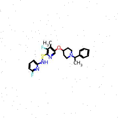 Cc1c(OC2CCN(C(C)c3ccccc3)CC2)cnc(SNc2cccc(F)n2)c1F